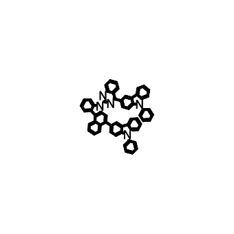 c1ccc(-n2c3ccccc3c3cc(-c4nc(-n5c6ccccc6c6c7ccccc7c(-c7ccc8c(c7)c7ccccc7n8-c7ccccc7)cc65)nc5ccccc45)ccc32)cc1